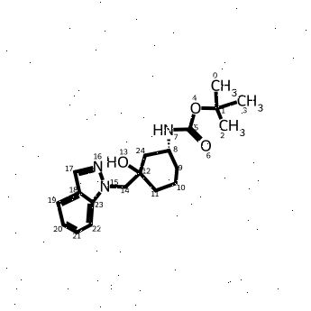 CC(C)(C)OC(=O)N[C@@H]1CCCC(O)(Cn2ncc3ccccc32)C1